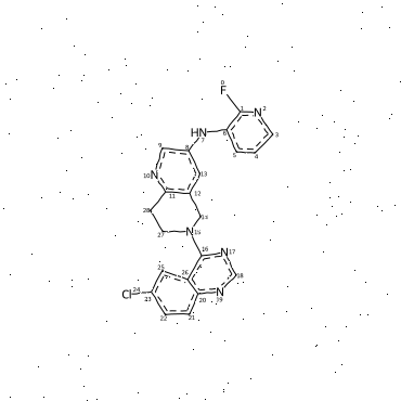 Fc1ncccc1Nc1cnc2c(c1)CN(c1ncnc3ccc(Cl)cc13)CC2